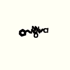 O=c1n(CCCl)nnn1CCc1ccccc1